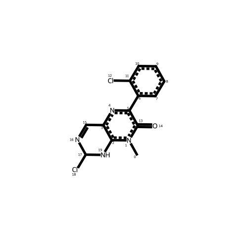 Cn1c2c(nc(-c3ccccc3Cl)c1=O)C=NC(Cl)N2